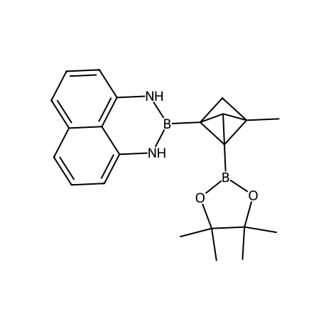 CC12CC(B3Nc4cccc5cccc(c45)N3)(C1)C2B1OC(C)(C)C(C)(C)O1